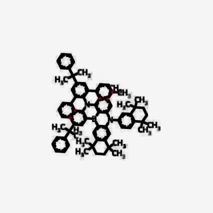 CC(C)c1cc2c3c(c1)N(c1c(-c4ccccc4)cc(C(C)(C)c4ccccc4)cc1-c1ccccc1)c1ccc(C(C)(C)c4ccccc4)cc1B3c1cc3c(cc1N2c1ccc2c(c1)C(C)(C)CCC2(C)C)C(C)(C)CCC3(C)C